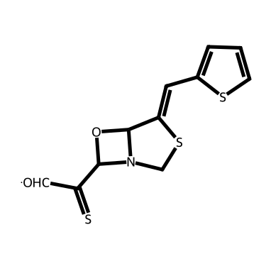 O=[C]C(=S)C1OC2C(=Cc3cccs3)SCN12